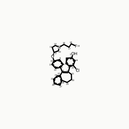 Oc1ccc(C2=C(c3ccc(O[C@H]4CCN(CCCF)C4)cc3)c3cc[c]cc3CCC2)c(Cl)c1